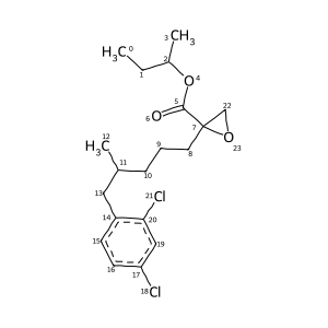 CCC(C)OC(=O)C1(CCCC(C)Cc2ccc(Cl)cc2Cl)CO1